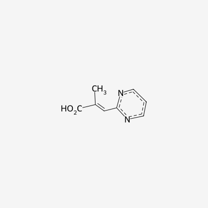 CC(=Cc1ncccn1)C(=O)O